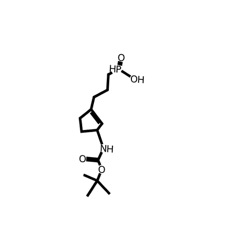 CC(C)(C)OC(=O)NC1C=C(CCC[PH](=O)O)CC1